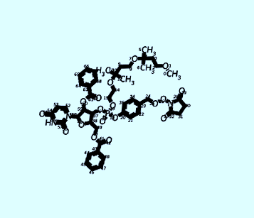 COCCC(C)(C)OCCC(C)(C)OCCOP(=O)(Oc1ccc(COON2C(=O)CCC2=O)cc1)OC1C(COC(=O)c2ccccc2)OC(n2ccc(=O)[nH]c2=O)C1OC(=O)c1ccccc1